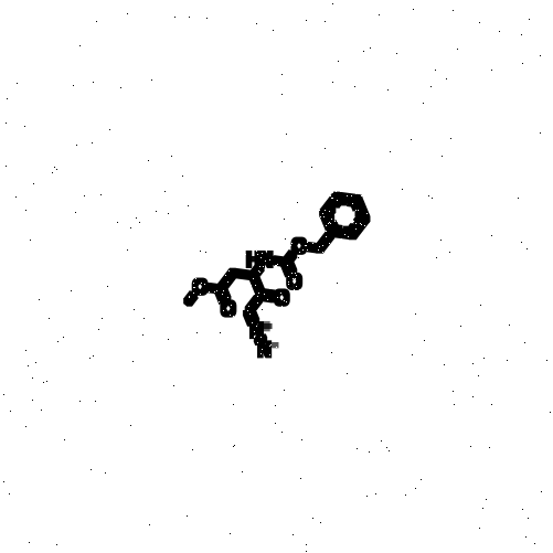 COC(=O)CC(NC(=O)OCc1ccccc1)C(=O)C=[N+]=[N-]